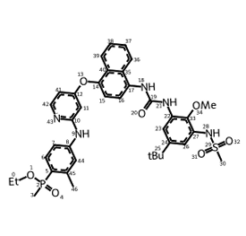 CCOP(C)(=O)c1ccc(Nc2cc(Oc3ccc(NC(=O)Nc4cc(C(C)(C)C)cc(NS(C)(=O)=O)c4OC)c4ccccc34)ccn2)cc1C